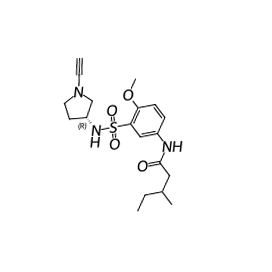 C#CN1CC[C@@H](NS(=O)(=O)c2cc(NC(=O)CC(C)CC)ccc2OC)C1